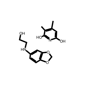 Cc1cc(O)nc(O)c1C.OCCNc1ccc2c(c1)OCO2